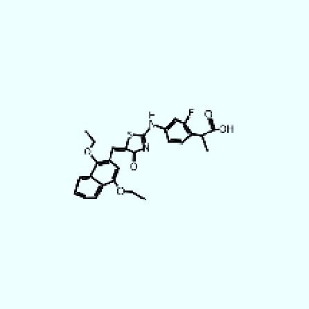 CCOc1cc(C=C2SC(Nc3ccc(C(C)C(=O)O)c(F)c3)=NC2=O)c(OCC)c2ccccc12